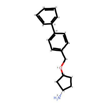 N[C@H]1CCC(OCc2ccc(-c3ccccc3)cc2)C1